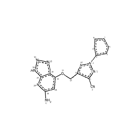 N#Cc1nn(-c2ccccc2)nc1COc1cc(N)nc2[nH]nnc12